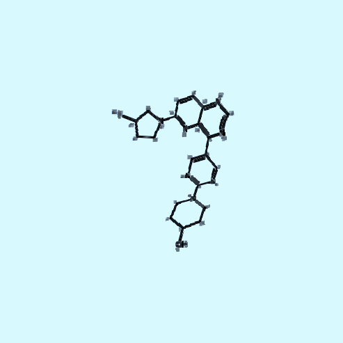 OC1CCN(c2ncc(-c3ncnc4ccc(N5CCC(F)C5)nc34)cn2)CC1